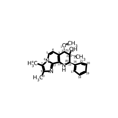 CO[C@H]1c2ccn3c(C)c(C)nc3c2N[C@H](c2ccccc2)[C@]1(C)O